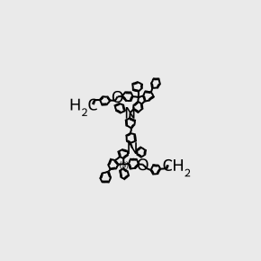 C=Cc1ccc(COc2ccc(C3(c4ccccc4)c4cc(-c5ccccc5)ccc4-c4ccc(N(c5ccccc5)c5ccc(-c6ccc(N(c7ccccc7)c7ccc8c(c7)[C@@](c7ccccc7)(c7ccc(OCc9ccc(C=C)cc9)cc7)c7cc(-c9ccccc9)ccc7-8)cc6)cc5)cc43)cc2)cc1